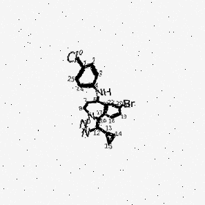 Clc1ccc(NC2CCn3nnc(C4CC4)c3-c3ccc(Br)cc32)cc1